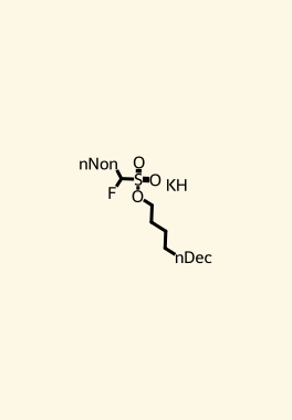 CCCCCCCCCCCCCCOS(=O)(=O)C(F)CCCCCCCCC.[KH]